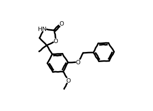 COc1ccc(C2(C)CNC(=O)O2)cc1OCc1ccccc1